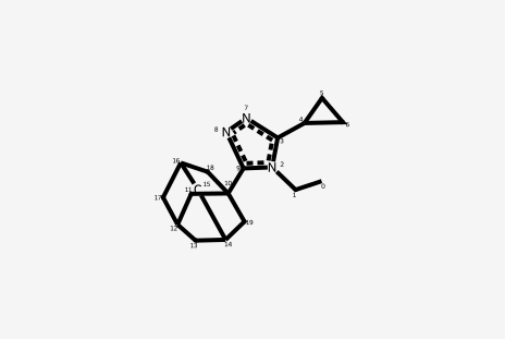 CCn1c(C2CC2)nnc1C12CC3CC(CC(C3)C1)C2